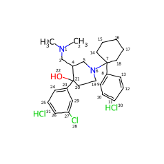 CN(C)CC1CN(C2(c3ccccc3)CCCCC2)CCC1(O)c1cccc(Cl)c1.Cl.Cl